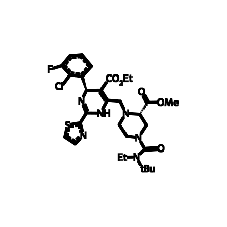 CCOC(=O)C1=C(CN2CCN(C(=O)N(CC)C(C)(C)C)C[C@H]2C(=O)OC)NC(c2nccs2)=N[C@H]1c1cccc(F)c1Cl